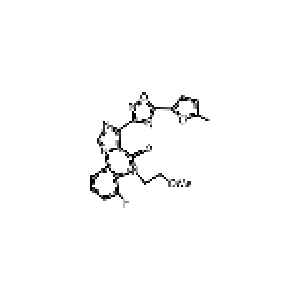 COCCn1c(=O)c2c(-c3noc(-c4ccc(C)o4)n3)ncn2c2cccc(F)c21